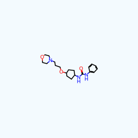 O=C(Nc1ccccc1)NC1CCC(OCCCN2CCOCC2)CC1